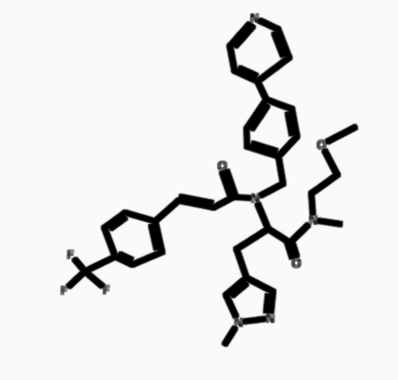 COCCN(C)C(=O)C(Cc1cnn(C)c1)N(Cc1ccc(-c2ccncc2)cc1)C(=O)C=Cc1ccc(C(F)(F)F)cc1